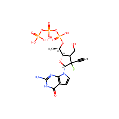 C#CC1(F)C(CO)[C@@H]([C@@H](C)OP(=O)(O)OP(=O)(O)OP(=O)(O)O)O[C@H]1n1ccc2c(=O)[nH]c(N)nc21